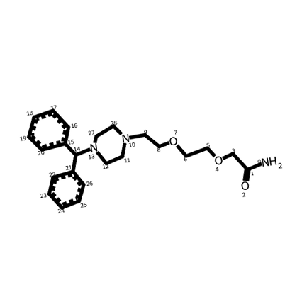 NC(=O)COCCOCCN1CCN(C(c2ccccc2)c2ccccc2)CC1